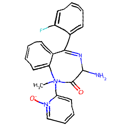 C[N+]1(c2cccc[n+]2[O-])C(=O)C(N)N=C(c2ccccc2F)c2ccccc21